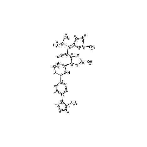 C=C(NC(CC)c1ccc(-c2scnc2C)cc1)[C@@H]1C[C@@H](O)CN1C(=O)[C@@H](c1cc(C)no1)C(C)C